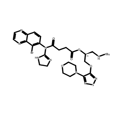 CC(C)(C)NC[C@@H](COc1nsnc1N1CCOCC1)OC(=O)CCC(=O)N(C1=NCCN1)c1ccc2nccnc2c1Br